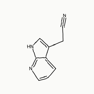 N#CCc1c[nH]c2ncccc12